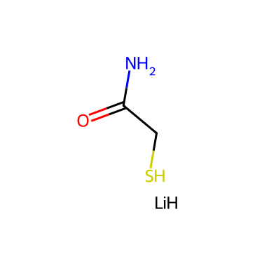 NC(=O)CS.[LiH]